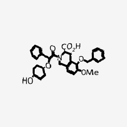 COc1ccc2c(c1OCc1ccccc1)C[C@@H](C(=O)O)N(C(=O)C(O[C@H]1CC[C@H](O)CC1)c1ccccc1)C2